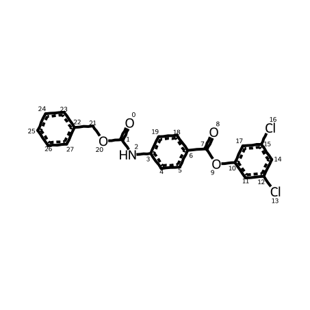 O=C(Nc1ccc(C(=O)Oc2cc(Cl)cc(Cl)c2)cc1)OCc1ccccc1